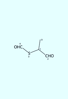 CC(C=O)SC=O